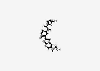 CN(C(=O)O)c1cnc2nc(-c3cc(N(C)C(=O)c4ccc(Cl)o4)ccc3F)cn2c1